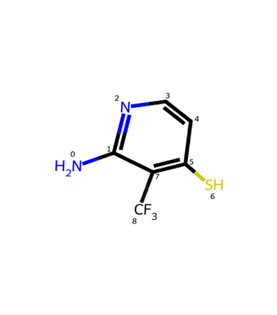 Nc1nccc(S)c1C(F)(F)F